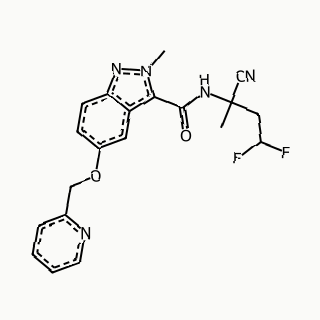 Cn1nc2ccc(OCc3ccccn3)cc2c1C(=O)NC(C)(C#N)CC(F)F